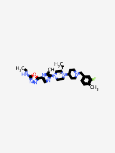 CCNc1nnc(-c2cnc(N3CCN(C4CCN(Cc5ccc(C)c(F)c5)CC4)[C@@H](CC)C3)c(C)n2)o1